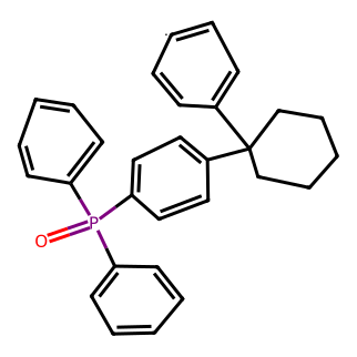 O=P(c1ccccc1)(c1ccccc1)c1ccc(C2(c3cc[c]cc3)CCCCC2)cc1